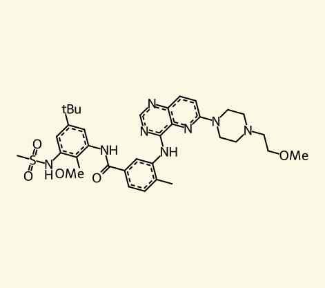 COCCN1CCN(c2ccc3ncnc(Nc4cc(C(=O)Nc5cc(C(C)(C)C)cc(NS(C)(=O)=O)c5OC)ccc4C)c3n2)CC1